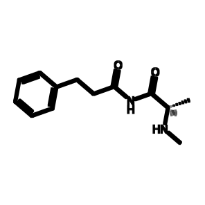 CN[C@@H](C)C(=O)NC(=O)CCc1ccccc1